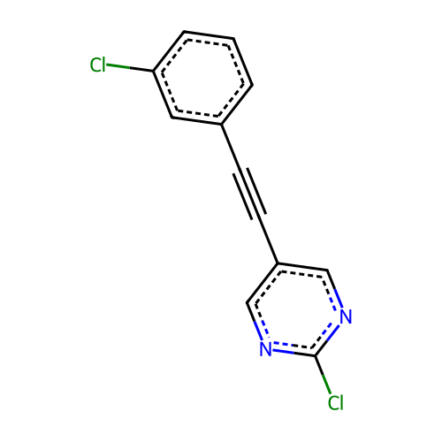 Clc1cccc(C#Cc2cnc(Cl)nc2)c1